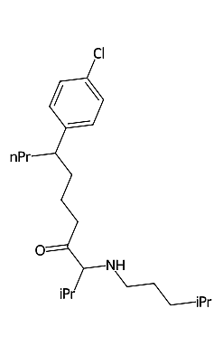 CCCC(CCCC(=O)C(NCCCC(C)C)C(C)C)c1ccc(Cl)cc1